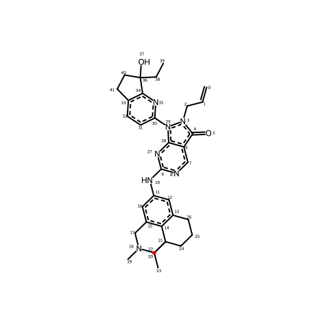 C=CCn1c(=O)c2cnc(Nc3cc4c5c(c3)CN(C)CC5(CC)CCC4)nc2n1-c1ccc2c(n1)C(O)(CC)CC2